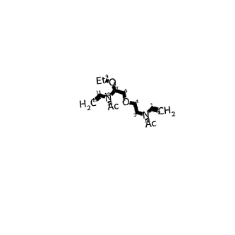 C=CN(CCOCC(OCC)N(C=C)C(C)=O)C(C)=O